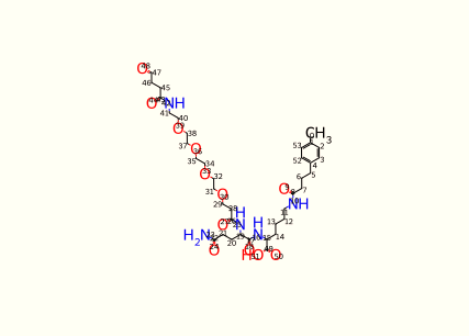 Cc1ccc(CCCC(=O)NCCCCC(NC(=O)C(CCC(N)=O)NC(=O)CCOCCOCCOCCOCCNC(=O)CCC=O)C(=O)O)cc1